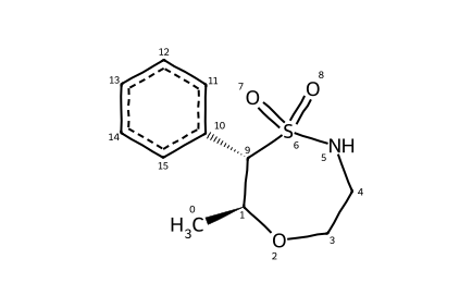 C[C@@H]1OCCNS(=O)(=O)[C@H]1c1ccccc1